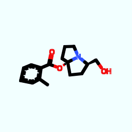 Cc1ccccc1C(=O)O[C@]12CCCN1[C@@H](CO)CC2